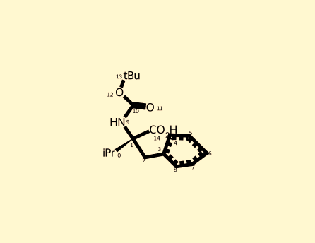 CC(C)[C@@](Cc1ccccc1)(NC(=O)OC(C)(C)C)C(=O)O